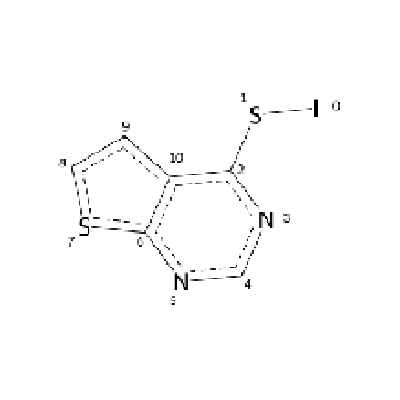 ISc1ncnc2sccc12